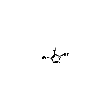 CC(C)c1cnn(C(C)C)c1Cl